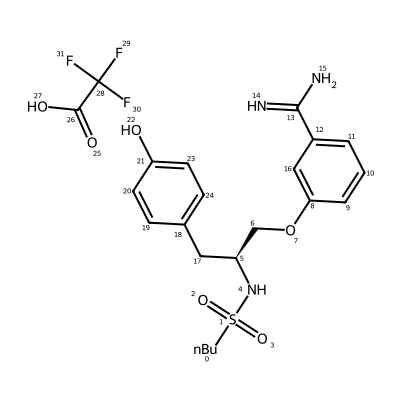 CCCCS(=O)(=O)N[C@H](COc1cccc(C(=N)N)c1)Cc1ccc(O)cc1.O=C(O)C(F)(F)F